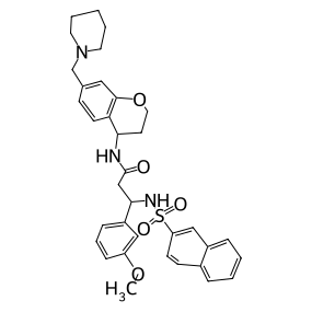 COc1cccc(C(CC(=O)NC2CCOc3cc(CN4CCCCC4)ccc32)NS(=O)(=O)c2ccc3ccccc3c2)c1